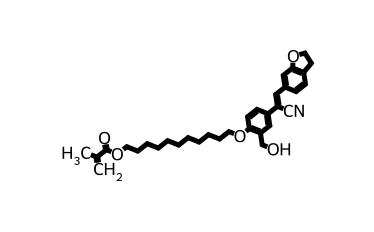 C=C(C)C(=O)OCCCCCCCCCCCOc1ccc(/C(C#N)=C/c2ccc3c(c2)OCC3)cc1CO